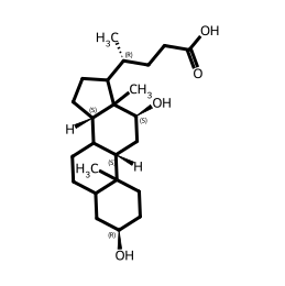 C[C@H](CCC(=O)O)C1CC[C@H]2C3CCC4C[C@H](O)CCC4(C)[C@H]3C[C@H](O)C12C